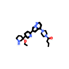 CCCC(=O)N1CCN(c2ccnn3cc(-c4ccc([C@]5(OCC)CCCNC5)cn4)cc23)CC1